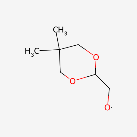 CC1(C)COC(C[O])OC1